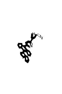 N#Cc1cc(-c2ccc(-c3c4ccccc4c(-c4cccc5ccccc45)c4ccccc34)cn2)ccn1